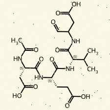 CC(=O)N[C@@H](CC(=O)O)C(=O)N[C@@H](CCC(=O)O)C(=O)N[C@H](C(=O)NC(C=O)CC(=O)O)C(C)C